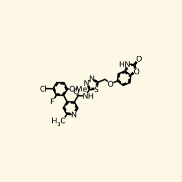 COc1ccc(Cl)c(F)c1-c1cc(C)ncc1C(=O)Nc1nnc(COc2ccc3oc(=O)[nH]c3c2)s1